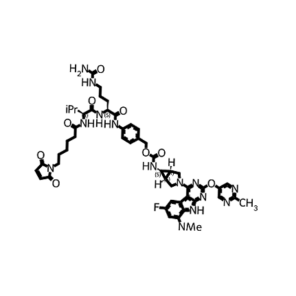 CNc1cc(F)cc2c1[nH]c1nc(Oc3cnc(C)nc3)nc(N3C[C@@H]4[C@H](C3)[C@H]4NC(=O)OCc3ccc(NC(=O)[C@H](CCCNC(N)=O)NC(=O)[C@@H](NC(=O)CCCCCN4C(=O)C=CC4=O)C(C)C)cc3)c12